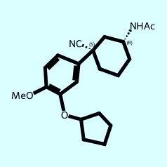 COc1ccc([C@]2(C#N)CCC[C@@H](NC(C)=O)C2)cc1OC1CCCC1